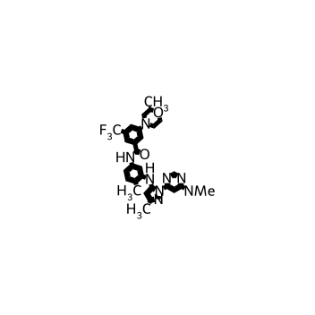 CNc1cc(-n2nc(C)cc2Nc2cc(NC(=O)c3cc(N4CCO[C@H](C)C4)cc(C(F)(F)F)c3)ccc2C)ncn1